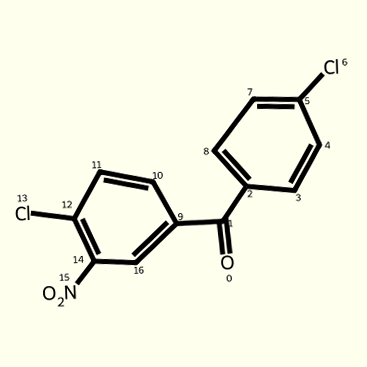 O=C(c1ccc(Cl)cc1)c1ccc(Cl)c([N+](=O)[O-])c1